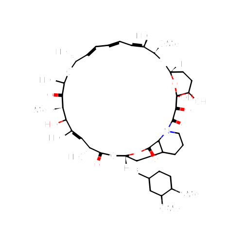 COC1CC(C[C@H]2C3CCCN4C(=O)C(=O)C5(O)O[C@@H](CCC5C)C[C@H](OC)/C(C)=C/C=C/C=C/[C@@H](C)CC(C)C(=O)[C@H](OC)C(O)/C(C)=C/[C@@H](C)C(=O)C[C@@H]2OC(=O)C34)CCC1SC